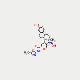 Cc1cnc(NC(=O)CCC2C(=C\O)/C(=N\O)C3(C)CCC4c5ccc(O)cc5CCC4C23)s1